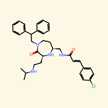 CC(C)NCC[C@@H]1N[C@H](CNC(=O)C=Cc2ccc(Cl)cc2)CCN(CC(c2ccccc2)c2ccccc2)C1=O